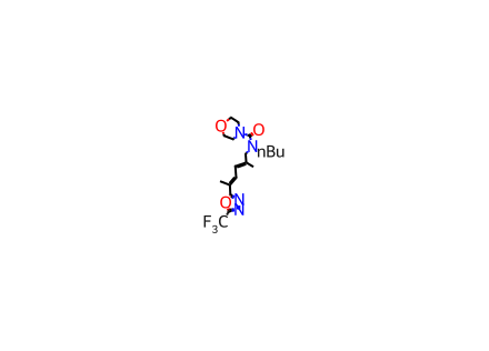 CCCCN(C/C(C)=C/C=C(\C)c1nnc(C(F)(F)F)o1)C(=O)N1CCOCC1